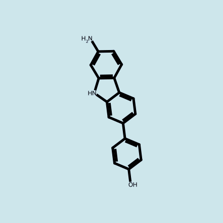 Nc1ccc2c(c1)[nH]c1cc(-c3ccc(O)cc3)ccc12